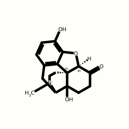 CN1CC[C@]23c4c5ccc(O)c4O[C@H]2C(=O)CCC3(O)C1C5